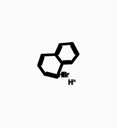 Br.[H+].c1ccc2ccccc2c1